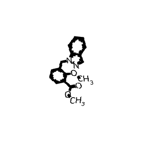 COC(=O)c1cccc(Cn2ncc3ccccc32)c1OC